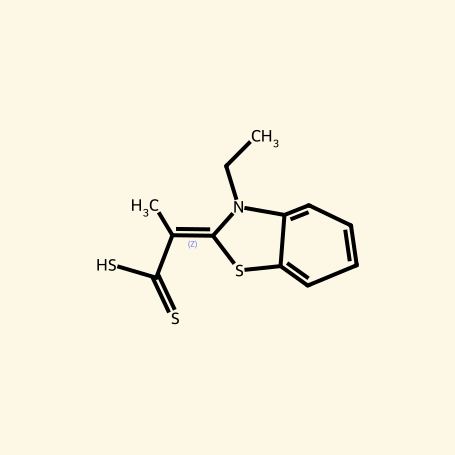 CCN1/C(=C(\C)C(=S)S)Sc2ccccc21